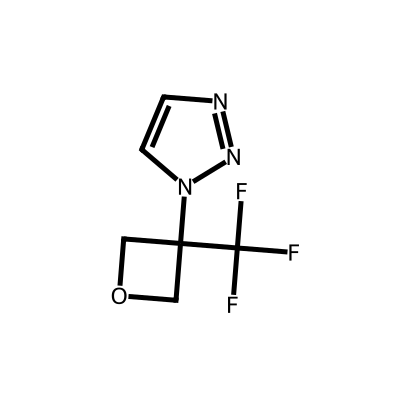 FC(F)(F)C1(n2ccnn2)COC1